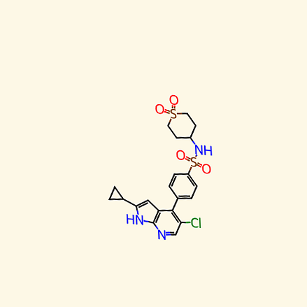 O=S1(=O)CCC(NS(=O)(=O)c2ccc(-c3c(Cl)cnc4[nH]c(C5CC5)cc34)cc2)CC1